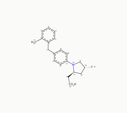 Cc1ccccc1Cc1ccc(N2C[C@H](F)C[C@H]2CC(=O)O)cc1